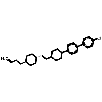 C=CCC[C@H]1CC[C@H](CCC2CCC(c3ccc(-c4ccc(Cl)cc4)cc3)CC2)CC1